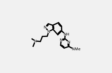 CNc1ccnc(Nc2ccc3cnn(CCCN(C)C)c3c2)n1